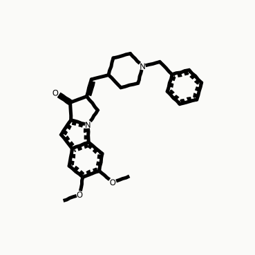 COc1cc2cc3n(c2cc1OC)CC(=CC1CCN(Cc2ccccc2)CC1)C3=O